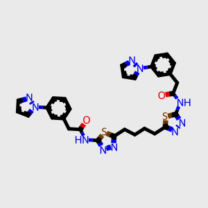 O=C(Cc1cccc(-n2cccn2)c1)Nc1nnc(CCCCc2nnc(NC(=O)Cc3cccc(-n4cccn4)c3)s2)s1